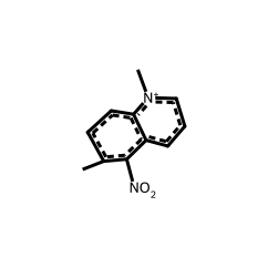 Cc1ccc2c(ccc[n+]2C)c1[N+](=O)[O-]